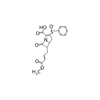 COC(=O)C=CCC1C(=O)N2C(C(=O)O)=C([S+]([O-])c3ccccc3)CC12